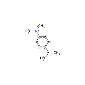 C=C(C)c1ccc(N(C)C)cc1